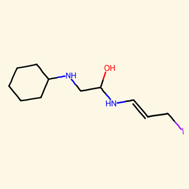 OC(CNC1CCCCC1)N/C=C/CI